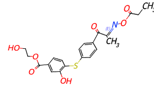 CCC(=O)O/N=C(\C)C(=O)c1ccc(Sc2ccc(C(=O)OCCO)cc2O)cc1